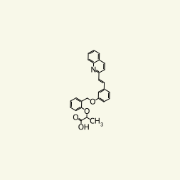 CC(Oc1ccccc1COc1cccc(/C=C/c2ccc3ccccc3n2)c1)C(=O)O